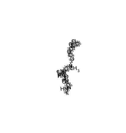 CN(CCCCOc1ccc(Oc2ccc(N(Cc3ccccc3)C(=O)CCl)cc2)cc1)C[C@H]1CC[C@H](n2cc(NC(=O)c3coc(-c4ccnc(NCC5CC5)c4)n3)c(C(F)F)n2)CC1